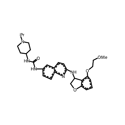 COCCOc1cccc2c1C(Nc1ccc3cc(NC(=O)NC4CCN(C(C)C)CC4)ccc3n1)CO2